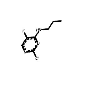 CCCNc1nc(Cl)ncc1F